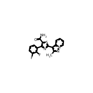 Cc1nn2ccccc2c1-c1nc(-c2cccc(F)c2F)c(C(N)=O)s1